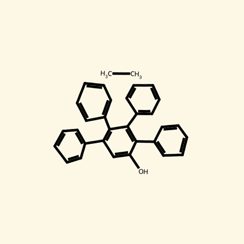 CC.Oc1cc(-c2ccccc2)c(-c2ccccc2)c(-c2ccccc2)c1-c1ccccc1